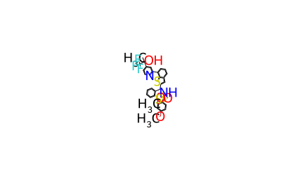 COc1ccc(S(=O)(=O)NC(c2cc3cccc(-c4cc(C(C)(O)C(F)(F)F)ccn4)c3s2)c2ccccc2SC)cc1